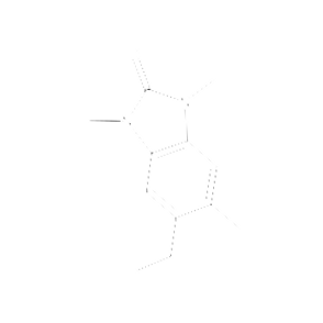 CCc1cc2c(cc1C)n(C)c(=O)n2C